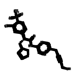 CS(=O)(=O)c1ccc([C@@H](CC2CCCC2)C(=O)Nc2cnc(CC#CCO)cn2)cc1Cl